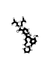 COc1ccc(Cl)cc1-c1nn2ccc(C(=O)N(CCC(C)C)CCC(C)C)cc2c1/C=C/CN1CCCCC1